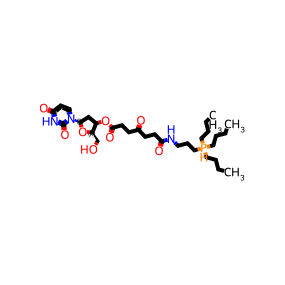 CCCC[PH](CCCC)(CCCC)CCCNC(=O)CCC(=O)CCC(=O)OC1C[C@H](n2ccc(=O)[nH]c2=O)O[C@@H]1CO